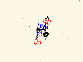 OCCCNc1nccc(-c2[nH]c(C3OCCCO3)nc2-c2ccc(F)cc2)n1